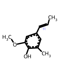 C/C=C/c1cc(C)c(O)c(OC)c1